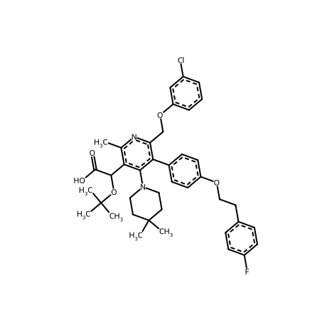 Cc1nc(COc2cccc(Cl)c2)c(-c2ccc(OCCc3ccc(F)cc3)cc2)c(N2CCC(C)(C)CC2)c1C(OC(C)(C)C)C(=O)O